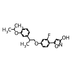 CC(C)Oc1cccc(C(C)COc2ccc(-c3cc(O)no3)c(F)c2)c1